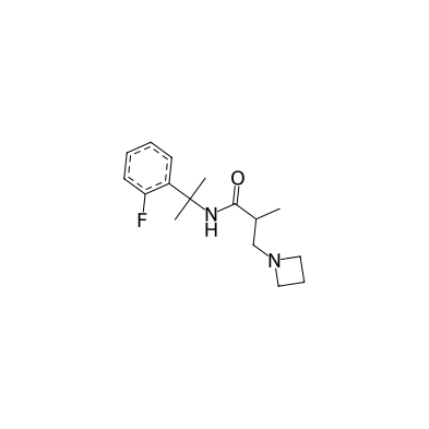 CC(CN1CCC1)C(=O)NC(C)(C)c1ccccc1F